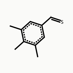 Cc1cc([C]=S)cc(C)c1C